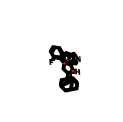 OC(CC1c2c(F)cccc2-c2cncn21)C12CC3CC(C1)C(OCc1ccccc1)C(C3)C2